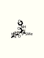 CSc1nc(C(=O)NC2CCOCC2)c(NC(=O)c2nc(C)no2)s1